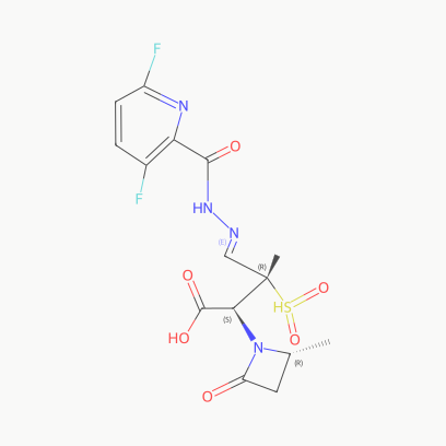 C[C@@H]1CC(=O)N1[C@@H](C(=O)O)[C@](C)(/C=N/NC(=O)c1nc(F)ccc1F)[SH](=O)=O